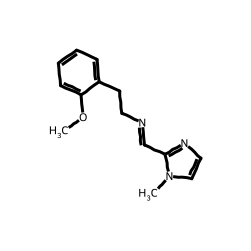 COc1ccccc1CCN=Cc1nccn1C